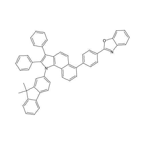 CC1(C)c2ccccc2-c2ccc(-n3c(-c4ccccc4)c(-c4ccccc4)c4ccc5c(-c6ccc(-c7nc8ccccc8o7)cc6)cccc5c43)cc21